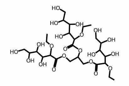 CCOC(C(=O)OCC(COC(=O)C(OCC)C(O)C(O)C(O)CO)OC(=O)C(OCC)C(O)C(O)C(O)CO)C(O)C(O)C(O)CO